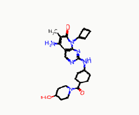 Cc1c(N)c2cnc(NC3CCC(C(=O)N4CCC(O)CC4)CC3)nc2n(C2CCC2)c1=O